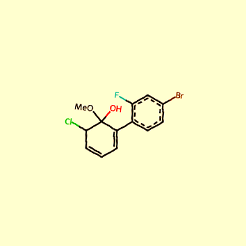 COC1(O)C(c2ccc(Br)cc2F)=CC=CC1Cl